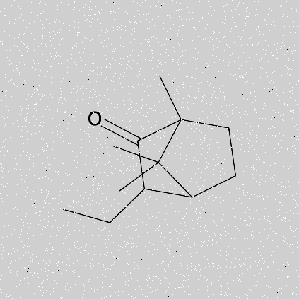 CCC1C(=O)C2(C)CCC1C2(C)C